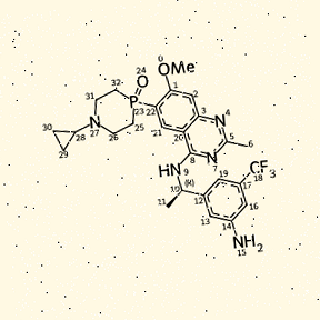 COc1cc2nc(C)nc(N[C@H](C)c3cc(N)cc(C(F)(F)F)c3)c2cc1P1(=O)CCN(C2CC2)CC1